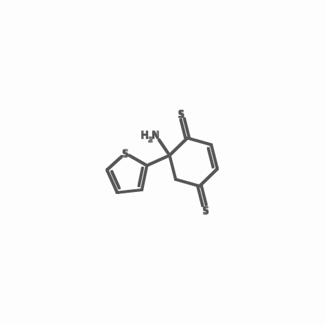 NC1(c2cccs2)CC(=S)C=CC1=S